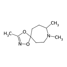 CC1=NOC2(CCC(C)N(C)CC2)O1